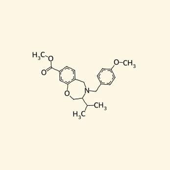 COC(=O)c1ccc2c(c1)OCC(C(C)C)N(Cc1ccc(OC)cc1)C2